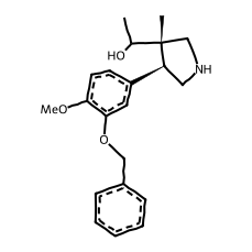 COc1ccc([C@@H]2CNC[C@@]2(C)C(C)O)cc1OCc1ccccc1